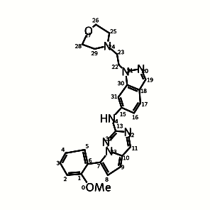 COc1ccccc1-c1ccc2cnc(Nc3ccc4cnn(CCN5CCOCC5)c4c3)nn12